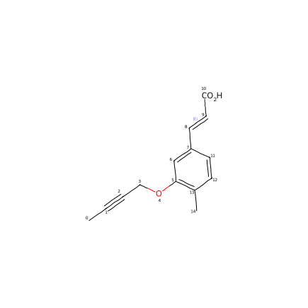 CC#CCOc1cc(/C=C/C(=O)O)ccc1C